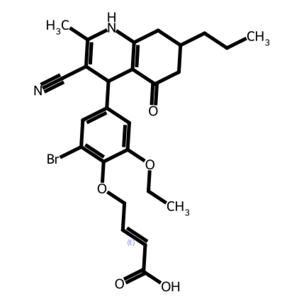 CCCC1CC(=O)C2=C(C1)NC(C)=C(C#N)C2c1cc(Br)c(OC/C=C/C(=O)O)c(OCC)c1